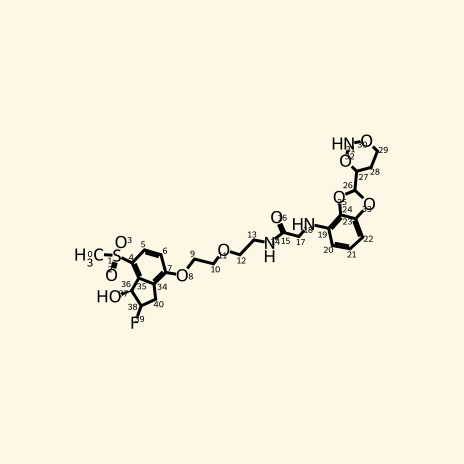 CS(=O)(=O)c1ccc(OCCOCCNC(=O)CNc2cccc3c2OC(C2CCONO2)O3)c2c1[C@H](O)C(F)C2